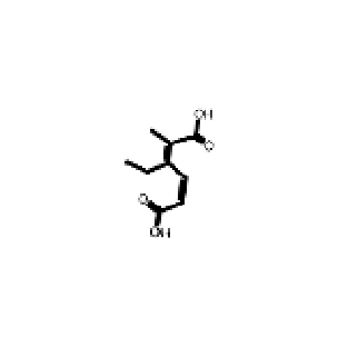 CCC(/C=C\C(=O)O)=C(\C)C(=O)O